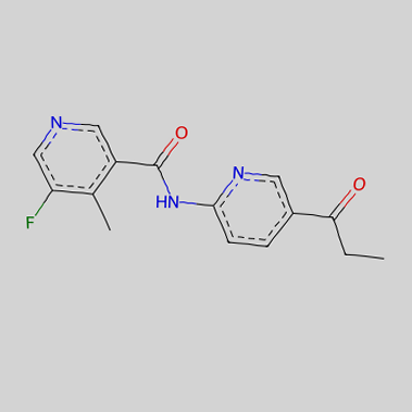 CCC(=O)c1ccc(NC(=O)c2cncc(F)c2C)nc1